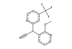 COc1ncccc1C(C#N)c1cc(C(F)(F)F)ccn1